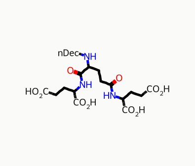 CCCCCCCCCCNC(CCC(=O)NC(CCC(=O)O)C(=O)O)C(=O)NC(CCC(=O)O)C(=O)O